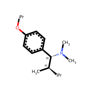 CC(C)Oc1ccc([C@@H]([C@H](C)C(C)C)N(C)C)cc1